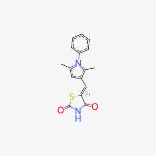 Cc1cc(/C=C2\SC(=O)NC2=O)c(C)n1-c1ccccc1